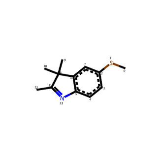 CSc1ccc2c(c1)C(C)(C)C(C)=N2